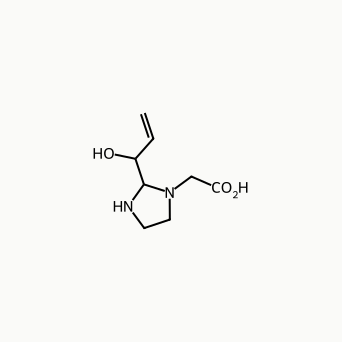 C=CC(O)C1NCCN1CC(=O)O